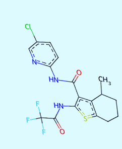 CC1CCCc2sc(NC(=O)C(F)(F)F)c(C(=O)Nc3ccc(Cl)cn3)c21